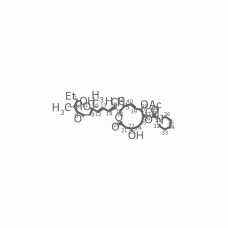 CC[C@H](O)[C@@H](C)[C@H]1O[C@@H]1C[C@@](C)(O)/C=C/C=C(\C)[C@H]1OC(=O)C[C@H](O)CC[C@@](C)(OC(=O)N2CCCCC2)[C@@H](OC(C)=O)/C=C/[C@@H]1C